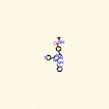 O=C(NC1CC1)c1ccc(-c2cnc3c(NCc4ccccn4)nc(-c4ccncc4)cn23)cc1